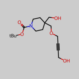 CC(C)(C)OC(=O)N1CCC(CO)(COCC#CCO)CC1